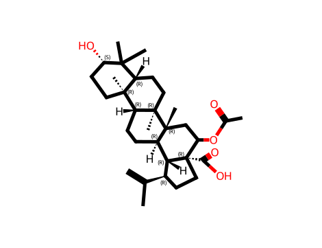 C=C(C)[C@@H]1CC[C@]2(C(=O)O)C(OC(C)=O)C[C@]3(C)[C@H](CC[C@@H]4[C@@]5(C)CC[C@H](O)C(C)(C)[C@@H]5CC[C@]43C)[C@@H]12